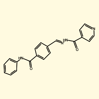 O=C(N/N=C/c1ccc(C(=O)Nc2ccccc2)cc1)c1ccncc1